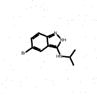 CC(C)Nc1[nH]nc2ccc(Br)cc12